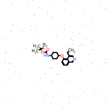 C=Cc1cncc2cccc(OC3CCC(NC(=O)OC(C)(C)C)CC3)c12